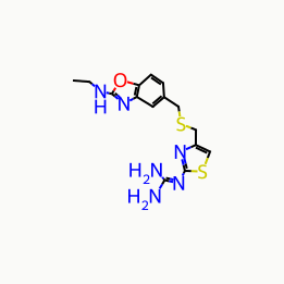 CCNc1nc2cc(CSCc3csc(N=C(N)N)n3)ccc2o1